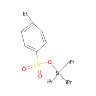 CCc1ccc(S(=O)(=O)O[Si](C(C)C)(C(C)C)C(C)C)cc1